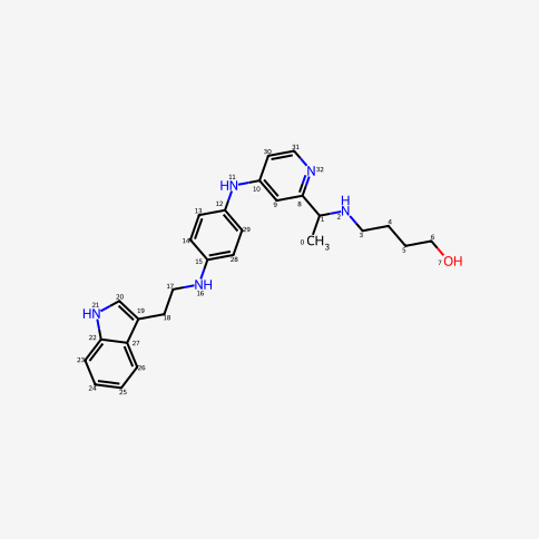 CC(NCCCCO)c1cc(Nc2ccc(NCCc3c[nH]c4ccccc34)cc2)ccn1